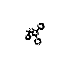 CC(S)(c1cc(N2CCOCC2)nc(-c2ccccn2)n1)c1ccco1